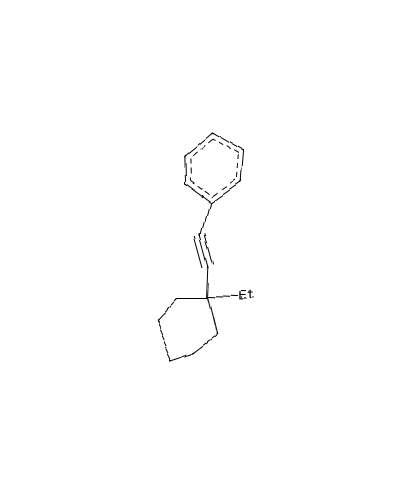 CCC1(C#Cc2ccccc2)CCCCC1